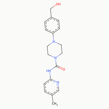 Cc1ccc(NC(=O)N2CCN(c3ccc(CO)cc3)CC2)nc1